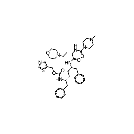 CN1CCN(C(=O)N[C@@H](CCN2CCOCC2)C(=O)N[C@H](CC[C@H](Cc2ccccc2)NC(=O)OCc2cncs2)Cc2ccccc2)CC1